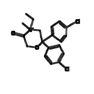 CC[N+]1(C)CC(c2ccc(Cl)cc2)(c2ccc(Cl)cc2)OCC1=O